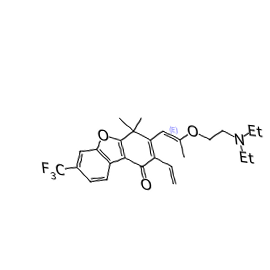 C=CC1=C(/C=C(\C)OCCN(CC)CC)C(C)(C)c2oc3cc(C(F)(F)F)ccc3c2C1=O